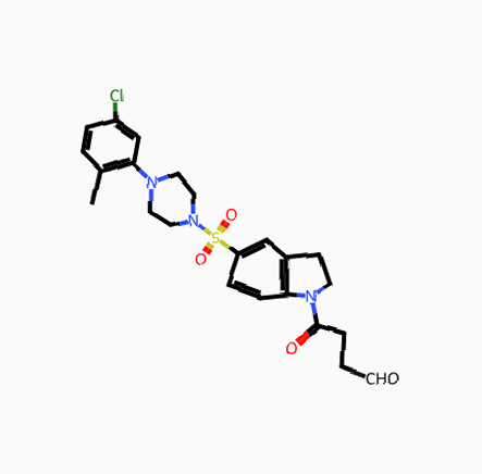 Cc1ccc(Cl)cc1N1CCN(S(=O)(=O)c2ccc3c(c2)CCN3C(=O)CCC=O)CC1